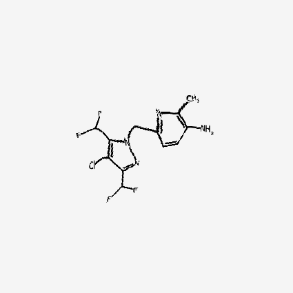 Cc1nc(Cn2nc(C(F)F)c(Cl)c2C(F)F)ccc1N